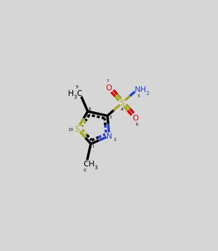 Cc1nc(S(N)(=O)=O)c(C)s1